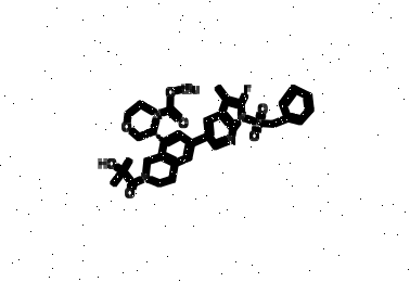 Cc1c(F)n(S(=O)(=O)Cc2ccccc2)c2ncc(-c3cc4c(c([C@@H]5COCCN5C(=O)OC(C)(C)C)c3)CN(C(=O)C(C)(C)O)CC4)cc12